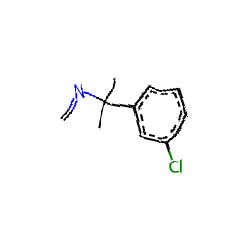 C=NC(C)(C)c1cccc(Cl)c1